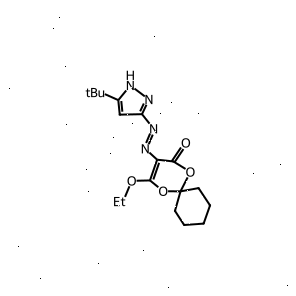 CCOC1=C(/N=N/c2cc(C(C)(C)C)[nH]n2)C(=O)OC2(CCCCC2)O1